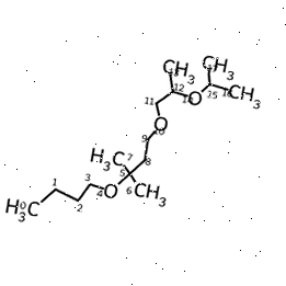 CCCCOC(C)(C)CCOCC(C)OC(C)C